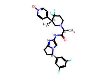 C[C@@H](C(=O)Nc1cn2c(n1)CC[C@@H]2c1cc(F)cc(F)c1)N1CCC(F)(F)[C@@](C)(c2cc[n+]([O-])cc2)C1